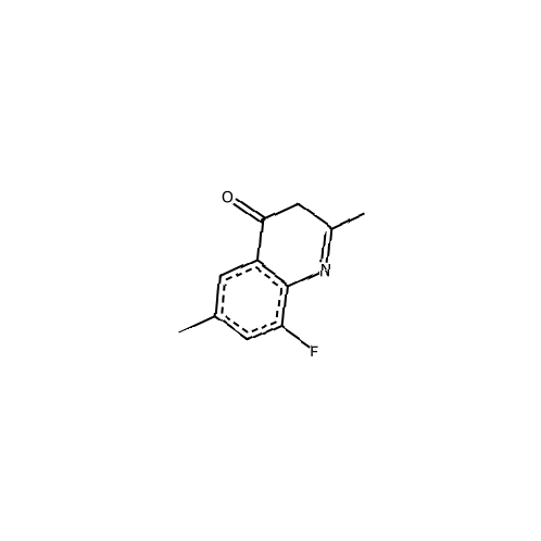 CC1=Nc2c(F)cc(C)cc2C(=O)C1